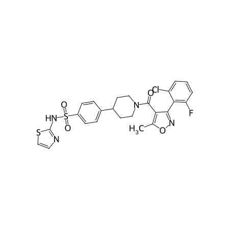 Cc1onc(-c2c(F)cccc2Cl)c1C(=O)N1CCC(c2ccc(S(=O)(=O)Nc3nccs3)cc2)CC1